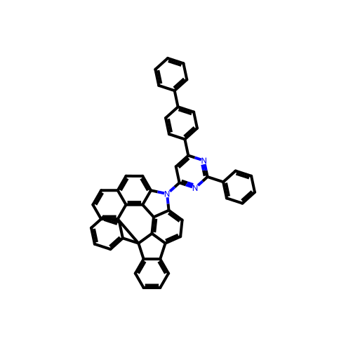 c1ccc(-c2ccc(-c3cc(-n4c5ccc6c7c5c5c8c(cccc8ccc54)C7(c4ccccc4)c4ccccc4-6)nc(-c4ccccc4)n3)cc2)cc1